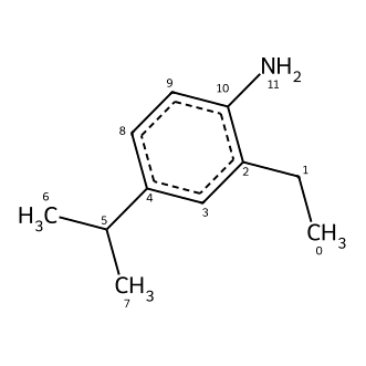 CCc1cc(C(C)C)ccc1N